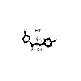 Cl.N[C@@H](C(=O)N1CCC(F)C1)[C@@H](O)c1ccc(F)cc1